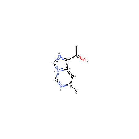 CC(=O)c1ncn2cnc(C)cc12